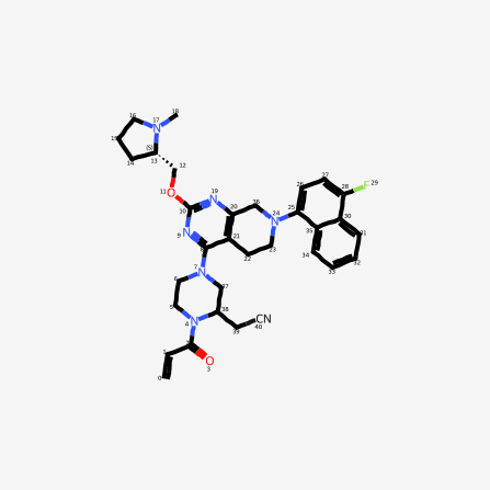 C=CC(=O)N1CCN(c2nc(OC[C@@H]3CCCN3C)nc3c2CCN(c2ccc(F)c4ccccc24)C3)CC1CC#N